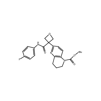 CC(C)(C)OC(=O)N1CCCc2nc(C3(C(=O)Nc4ccc(F)cc4)COC3)ccc21